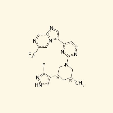 C[C@@H]1C[C@H](c2c[nH]nc2F)CN(c2nccc(-c3cnc4cnc(C(F)(F)F)cn34)n2)C1